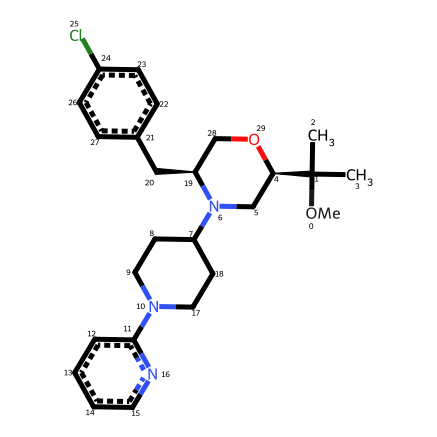 COC(C)(C)[C@H]1CN(C2CCN(c3ccccn3)CC2)[C@@H](Cc2ccc(Cl)cc2)CO1